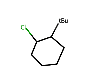 CC(C)(C)C1CCCCC1Cl